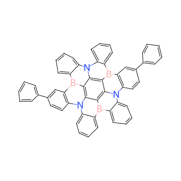 c1ccc(-c2ccc3c(c2)B2c4ccccc4N4c5ccccc5B5c6cc(-c7ccccc7)ccc6N6c7ccccc7B7c8ccccc8N3c3c2c4c5c6c37)cc1